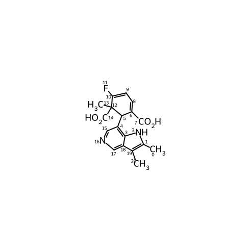 Cc1[nH]c2c(C3C(C(=O)O)=CC=C(F)C3(C)C(=O)O)cncc2c1C